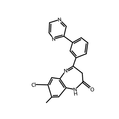 Cc1cc2c(cc1Cl)N=C(c1cccc(-c3cnccn3)c1)CC(=O)N2